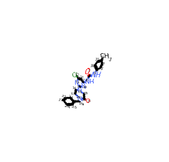 Cc1ccc(NC(=O)Nc2cc(Cl)nc(N3CCN(Cc4ccccc4)C(=O)C3)n2)cc1